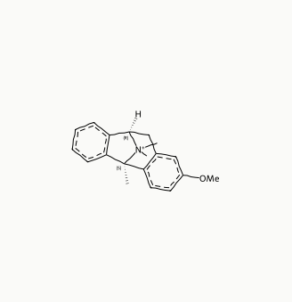 COc1ccc2c(c1)C[C@@H]1c3ccccc3[C@@]2(C)[N+]1(C)C